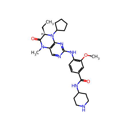 CC[C@@H]1C(=O)N(C)c2cnc(Nc3ccc(C(=O)NC4CCNCC4)cc3OC)nc2N1C1CCCC1